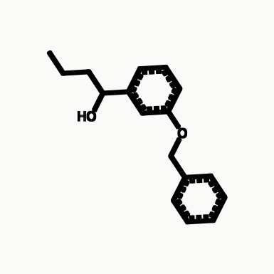 CCCC(O)c1cccc(OCc2ccccc2)c1